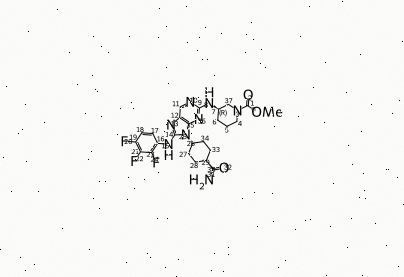 COC(=O)N1CCC[C@@H](Nc2ncc3nc(Nc4ccc(F)c(F)c4F)n([C@H]4CC[C@H](C(N)=O)CC4)c3n2)C1